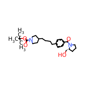 CC(C)(C)OC(=O)N1CCC(CCCCc2ccc(C(=O)N3CCC[C@@H]3CO)cc2)CC1